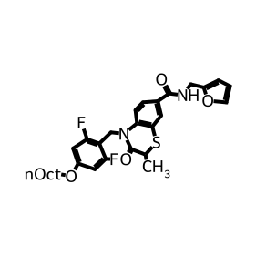 CCCCCCCCOc1cc(F)c(CN2C(=O)C(C)Sc3cc(C(=O)NCc4ccco4)ccc32)c(F)c1